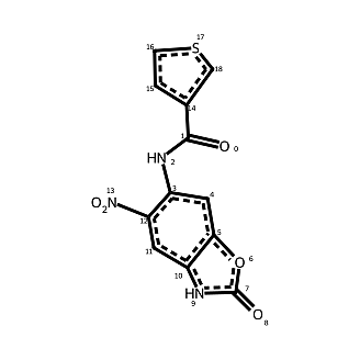 O=C(Nc1cc2oc(=O)[nH]c2cc1[N+](=O)[O-])c1ccsc1